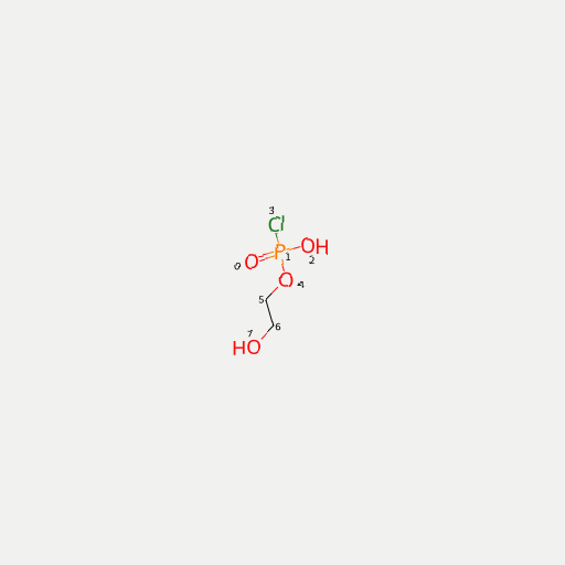 O=P(O)(Cl)OCCO